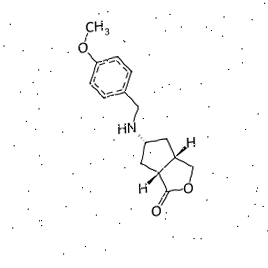 COc1ccc(CN[C@@H]2C[C@@H]3COC(=O)[C@@H]3C2)cc1